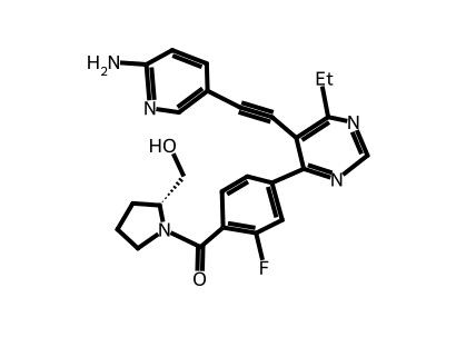 CCc1ncnc(-c2ccc(C(=O)N3CCC[C@@H]3CO)c(F)c2)c1C#Cc1ccc(N)nc1